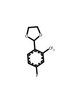 Fc1ccc(C2OCCO2)c(C(F)(F)F)c1